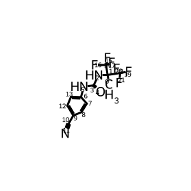 CC(NC(=O)Nc1ccc(C#N)cc1)(C(F)(F)F)C(F)(F)F